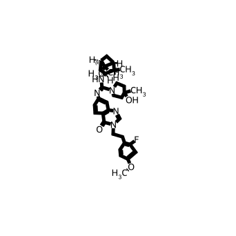 COc1ccc(CCn2cnc3cc(N=C(N[C@H]4C[C@H]5C[C@H]([C@H]4C)C5(C)C)N4CCC(C)(O)CC4)ccc3c2=O)c(F)c1